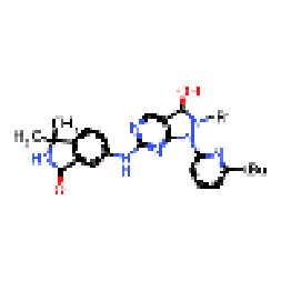 CC(C)N1C(O)c2cnc(Nc3ccc4c(c3)C(=O)NC4(C)C)nc2N1c1cccc(C(C)(C)C)n1